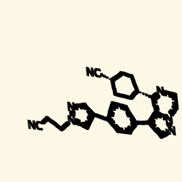 N#CCCn1cc(-c2ccc(-c3cnn4ccnc([C@H]5CC[C@@H](C#N)CC5)c34)cc2)cn1